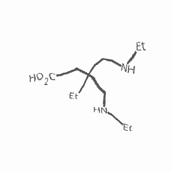 CCNCC(CC)(CNCC)CC(=O)O